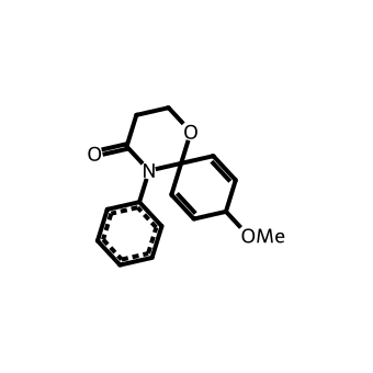 COC1C=CC2(C=C1)OCCC(=O)N2c1ccccc1